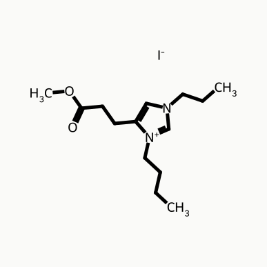 CCCC[n+]1cn(CCC)cc1CCC(=O)OC.[I-]